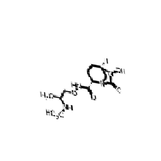 CC(CONC(=O)[C@@H]1CC[C@@H]2CN1C(=O)N2O)NC(=O)O